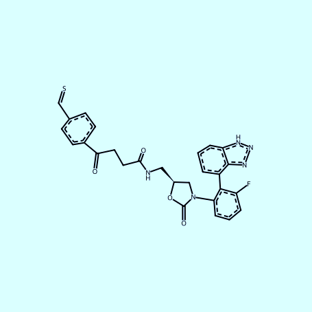 O=C(CCC(=O)c1ccc(C=S)cc1)NC[C@H]1CN(c2cccc(F)c2-c2cccc3[nH]nnc23)C(=O)O1